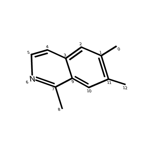 Cc1cc2ccnc(C)c2cc1C